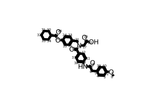 COc1ccc(CC(=O)Nc2ccc(C(=O)N(CC(=O)O)Cc3ccc(OC(=O)C4CCCCC4)cc3)cc2)cc1